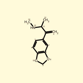 C=C(c1ccc2c(c1)OCO2)C(C)NC